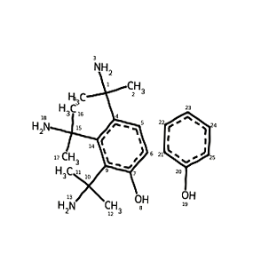 CC(C)(N)c1ccc(O)c(C(C)(C)N)c1C(C)(C)N.Oc1ccccc1